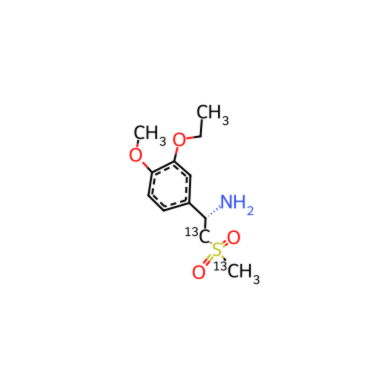 CCOc1cc([C@H](N)[13CH2]S([13CH3])(=O)=O)ccc1OC